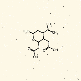 CC1CC(N(C)C)C(CC(=O)O)C(CC(=O)O)O1